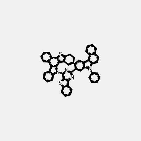 C1=Cc2c(sc3c4ccccc4c4c5ccccc5n(-c5nc(-c6ccc7c8c9ccccc9ccc8n(-c8ccccc8)c7c6)nc6c5sc5ccccc56)c4c23)CC1